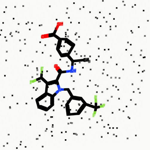 CC(NC(=O)c1c(C(F)F)c2ccccc2n1Cc1cccc(C(F)(F)F)c1)c1ccc(C(=O)O)cc1